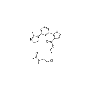 CC(=O)NCCCl.CCOC(=O)c1ccoc1-c1cccc(N2CCN=C2C)c1